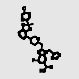 C[C@]1(c2ccc(Cl)cn2)Oc2cccc(C3=CC[C@H](Cc4nc5c(F)cc(C(=O)O)cc5n4Cc4cscn4)OC3)c2O1